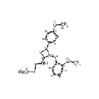 COCCNC1CC(c2ccc(OC(F)(F)F)cc2)N1Cc1ccccc1OC(F)(F)F